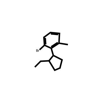 CCC1CCCC1c1c(C)cccc1Br